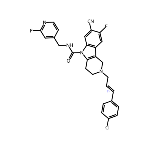 N#Cc1cc2c(cc1F)c1c(n2C(=O)NCc2ccnc(F)c2)CCN(C/C=C/c2ccc(Cl)cc2)C1